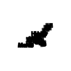 CNC(=O)c1cccc(NC(=O)N[C@@H](C(=O)N2CCOCC2)[C@@H](C)C(=O)N2CCCC(Cc3ccc(F)cc3)C2)c1